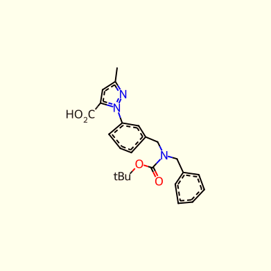 Cc1cc(C(=O)O)n(-c2cccc(CN(Cc3ccccc3)C(=O)OC(C)(C)C)c2)n1